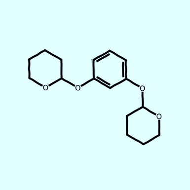 [c]1ccc(OC2CCCCO2)cc1OC1CCCCO1